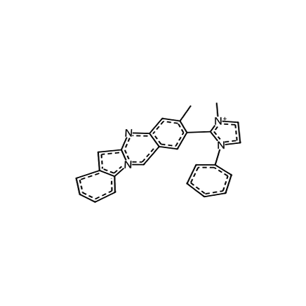 Cc1cc2nc3cc4ccccc4n3cc2cc1-c1n(-c2ccccc2)cc[n+]1C